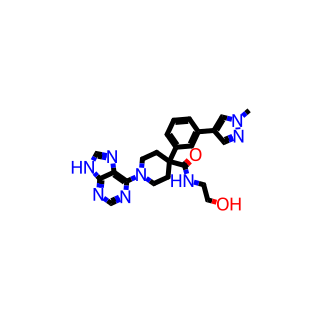 Cn1cc(-c2cccc(C3(C(=O)NCCO)CCN(c4ncnc5[nH]cnc45)CC3)c2)cn1